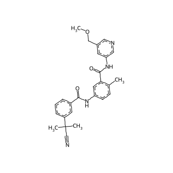 COCc1cncc(NC(=O)c2cc(NC(=O)c3cccc(C(C)(C)C#N)c3)ccc2C)c1